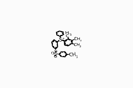 Cc1ccc(S(=O)(=O)[O-])cc1.Cc1ccc([S+](c2ccccc2)c2ccccc2)c(C)c1C